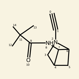 C#CN1CC2CC1C2NC(=O)C(C)(C)C